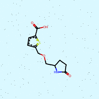 O=C1CCC(COCc2ccc(C(=O)O)s2)N1